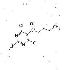 CCCC[S+]([O-])c1c(Cl)nc(Cl)nc1Cl